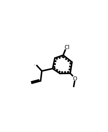 [CH2]C(C=C)c1cc(Cl)cc(OC)c1